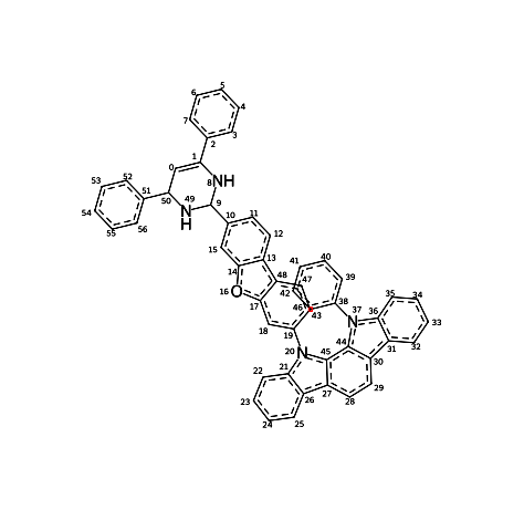 C1=C(c2ccccc2)NC(c2ccc3c(c2)oc2cc(-n4c5ccccc5c5ccc6c7ccccc7n(-c7ccccc7)c6c54)ccc23)NC1c1ccccc1